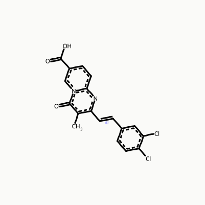 Cc1c(/C=C/c2ccc(Cl)c(Cl)c2)nc2ccc(C(=O)O)cn2c1=O